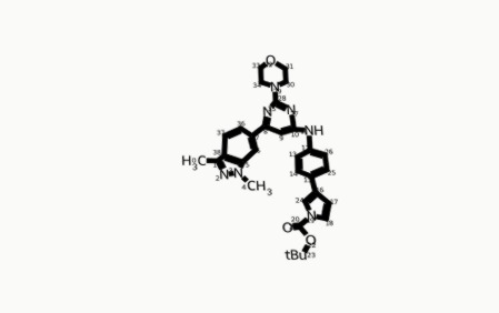 Cc1nn(C)c2cc(-c3cc(Nc4ccc(-c5ccn(C(=O)OC(C)(C)C)c5)cc4)nc(N4CCOCC4)n3)ccc12